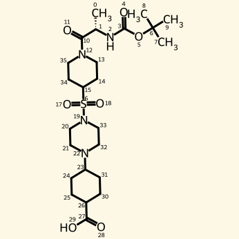 C[C@H](NC(=O)OC(C)(C)C)C(=O)N1CCC(S(=O)(=O)N2CCN(C3CCC(C(=O)O)CC3)CC2)CC1